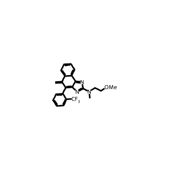 C=c1c(-c2ccccc2C(F)(F)F)c2c(c3ccccc13)=NC(N(C)CCOC)=N2